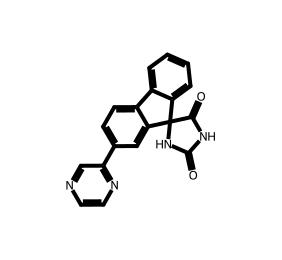 O=C1NC(=O)C2(N1)c1ccccc1-c1ccc(-c3cnccn3)cc12